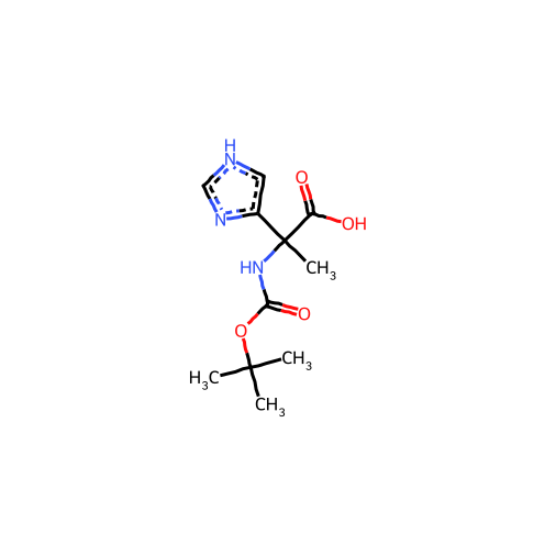 CC(C)(C)OC(=O)NC(C)(C(=O)O)c1c[nH]cn1